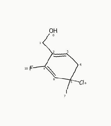 OCC1=CCC(Cl)(I)C=C1F